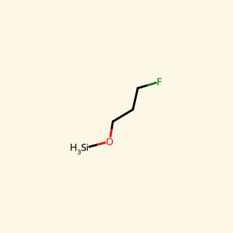 FCCCO[SiH3]